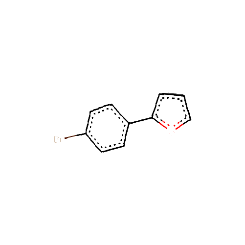 Brc1ccc(-c2[c]cco2)cc1